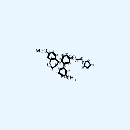 COc1ccc2c(c1)OC[C@@H](c1ccc(C)cc1)[C@H]2c1ccc(OCCN2CCCC2)cc1